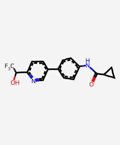 O=C(Nc1ccc(-c2ccc(C(O)C(F)(F)F)nc2)cc1)C1CC1